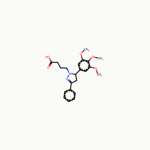 COc1cc(C2CC(c3ccccc3)=NN2CCCC(=O)O)cc(OC)c1OC